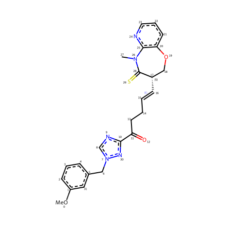 COc1cccc(Cn2cnc(C(=O)CC/C=C/[C@H]3COc4cccnc4N(C)C3=S)n2)c1